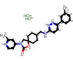 Cc1cc(N2CC3(CCC(CNc4ccc(-c5cccc(C(F)(F)F)c5)nn4)CC3)OC2=O)ccn1.Cl.Cl